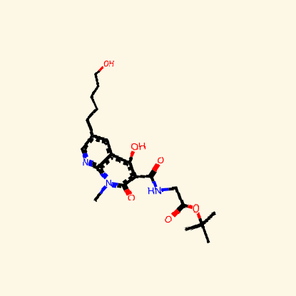 Cn1c(=O)c(C(=O)NCC(=O)OC(C)(C)C)c(O)c2cc(CCCCCO)cnc21